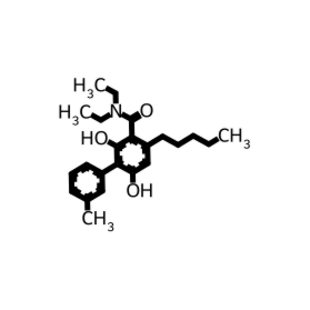 CCCCCc1cc(O)c(-c2cccc(C)c2)c(O)c1C(=O)N(CC)CC